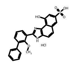 COc1c(-c2ccccc2)cccc1-c1nc2c(ccc3cc(S(=O)(=O)O)cc(O)c32)[nH]1.Cl